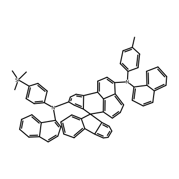 Cc1ccc(N(c2cccc3ccccc23)c2ccc3c4c(cccc24)C2(c4ccccc4-c4ccccc42)c2cc(N(c4ccc([Si](C)(C)C)cc4)c4cccc5ccccc45)ccc2-3)cc1